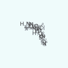 C[C@@H]1CC[C@@H](c2ccc3sc(C4CCN(C)CC4)nc3c2)N(C(=O)C(=O)Nc2cnc(N)c(C3CC3)c2)C1